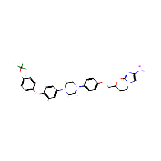 O=[N+]([O-])c1cn2c(n1)OC(COc1ccc(N3CCN(c4ccc(Oc5ccc(OC(F)(F)F)cc5)cc4)CC3)cc1)CC2